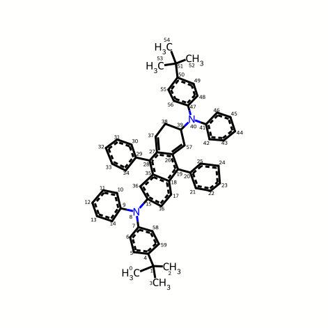 CC(C)(C)c1ccc(N(c2ccccc2)c2ccc3c(-c4ccccc4)c4c(c(-c5ccccc5)c3c2)=CCC(N(c2ccccc2)c2ccc(C(C)(C)C)cc2)C=4)cc1